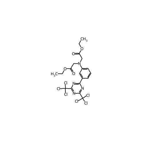 CCOC(=O)CN(CC(=O)OCC)c1cccc(-c2nc(C(Cl)(Cl)Cl)nc(C(Cl)(Cl)Cl)n2)c1